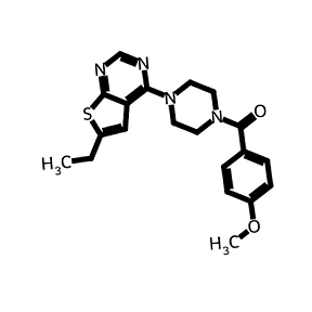 CCc1cc2c(N3CCN(C(=O)c4ccc(OC)cc4)CC3)ncnc2s1